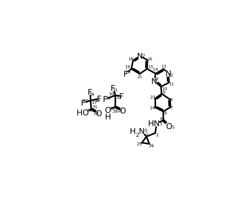 NC1(CNC(=O)c2ccc(-c3cncc(-c4cncc(F)c4)n3)cc2)CC1.O=C(O)C(F)(F)F.O=C(O)C(F)(F)F